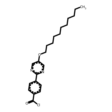 CCCCCCCCCCCOc1cnc(-c2ccc(C(=O)Cl)cc2)nc1